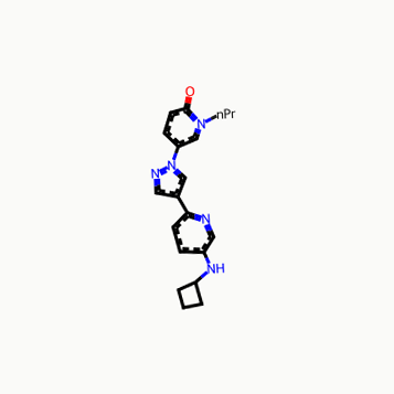 CCCn1cc(-n2cc(-c3ccc(NC4CCC4)cn3)cn2)ccc1=O